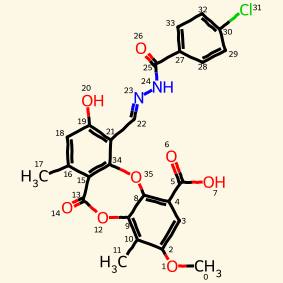 COc1cc(C(=O)O)c2c(c1C)OC(=O)c1c(C)cc(O)c(C=NNC(=O)c3ccc(Cl)cc3)c1O2